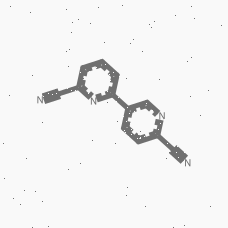 N#Cc1ccc(-c2cccc(C#N)n2)cn1